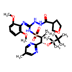 COc1cccc(OC)c1N=C(NNC(=O)C1CCOC1)NS(=O)(=O)[C@@H](C)[C@H](O[Si](C)(C)C(C)(C)C)c1ncc(C)cn1